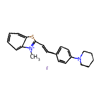 C[n+]1c(C=Cc2ccc(N3CCCCC3)cc2)sc2ccccc21.[I-]